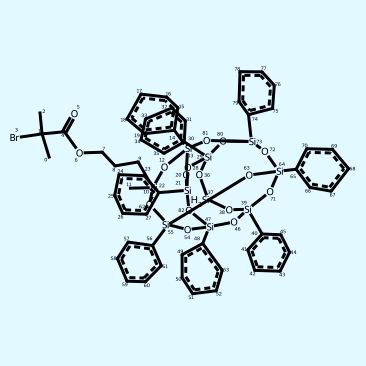 CC(C)(Br)C(=O)OCCC[Si]1(C)O[Si]2(c3ccccc3)O[Si]3(c4ccccc4)O[Si]4(c5ccccc5)O[SiH2]O[Si]5(c6ccccc6)O[Si](c6ccccc6)(O[Si](c6ccccc6)(O1)O[Si](c1ccccc1)(O5)O[Si](c1ccccc1)(O4)O2)O3